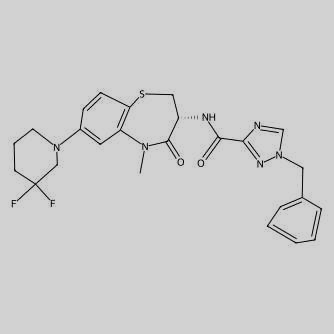 CN1C(=O)[C@@H](NC(=O)c2ncn(Cc3ccccc3)n2)CSc2ccc(N3CCCC(F)(F)C3)cc21